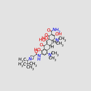 CC(N1CC(C(=O)Nc2cc(N(C)C)c3c(c2O)C(=O)C2=C(O)[C@]4(O)C(=O)C(C(N)=O)=C(O)[C@@H](N(C)C)[C@@H]4C[C@@H]2C3)C1)C(C)(C)C